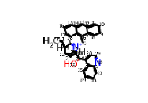 C=C[C@H]1C[N+]2(Cc3c4ccccc4cc4ccccc34)CCC1C[C@@H]2[C@H](O)c1ccnc2ccccc12